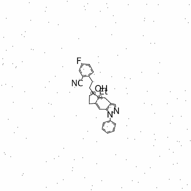 CC[C@]12Cc3cnn(-c4ccccc4)c3C=C1CC[C@@]2(O)CCc1ccc(F)cc1C#N